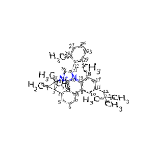 C=C1C2(C)c3cccc4c5cc(CC(C)(C)C)ccc5n5c(-c6c(C)cccc6C)c[n+](c5c34)C12C